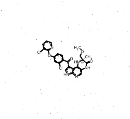 COC[C@]1(C)Nc2c(cnc3[nH]cc(C(=O)c4ccc(Oc5ncccc5Cl)cc4Cl)c23)NC1=O